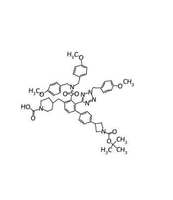 COc1ccc(CN(Cc2ccc(OC)cc2)S(=O)(=O)c2c(CC3CCN(C(=O)O)CC3)ccc(-c3ccc(C4CN(C(=O)OC(C)(C)C)C4)cc3)c2-c2nnn(Cc3ccc(OC)cc3)n2)cc1